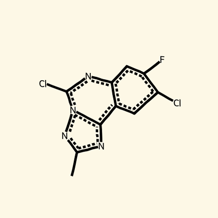 Cc1nc2c3cc(Cl)c(F)cc3nc(Cl)n2n1